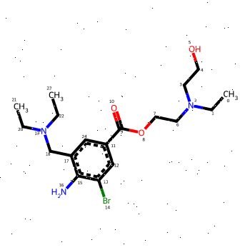 CCN(CCO)CCOC(=O)c1cc(Br)c(N)c(CN(CC)CC)c1